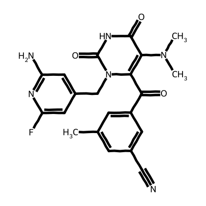 Cc1cc(C#N)cc(C(=O)c2c(N(C)C)c(=O)[nH]c(=O)n2Cc2cc(N)nc(F)c2)c1